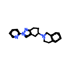 c1ccc(-n2cc3c(n2)CCC(N2CCc4ccccc4C2)C3)nc1